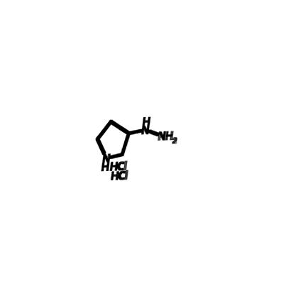 Cl.Cl.NNC1CCNC1